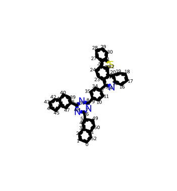 c1ccc2cc(-c3nc(-c4ccc(-c5nc6ccccc6c6c5ccc5c7ccccc7sc56)cc4)nc(-c4ccc5ccccc5c4)n3)ccc2c1